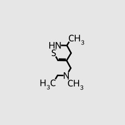 CCN(C)CC1=CSNC(C)C1